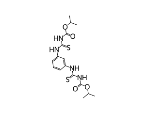 CC(C)OC(=O)NC(=S)Nc1cccc(NC(=S)NC(=O)OC(C)C)c1